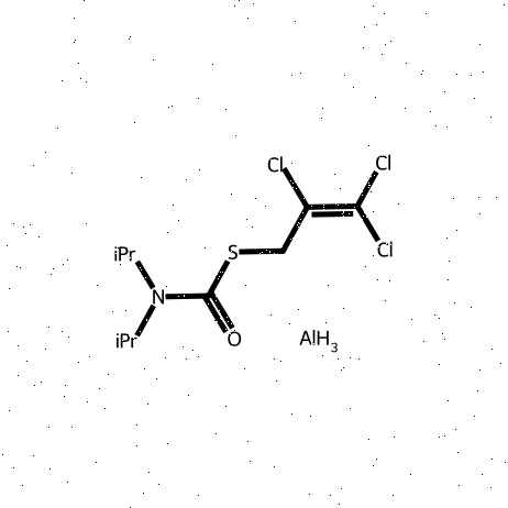 CC(C)N(C(=O)SCC(Cl)=C(Cl)Cl)C(C)C.[AlH3]